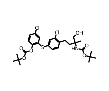 CC(CO)(CCc1ccc(Sc2cc(Cl)ccc2OC(=O)OC(C)(C)C)cc1Cl)NC(=O)OC(C)(C)C